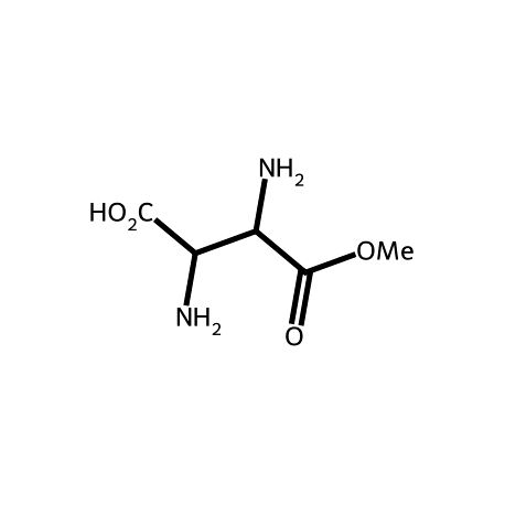 COC(=O)C(N)C(N)C(=O)O